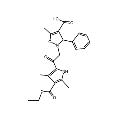 CCOC(=O)c1c(C)[nH]c(C(=O)CN2OC(C)=C(C(=O)O)C2c2ccccc2)c1C